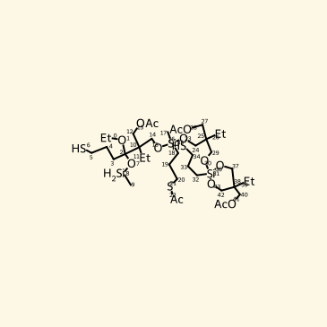 CCOC(CCCS)(O[SiH2]C)C(CC)(COC(C)=O)CO[Si](C)(CCCSC(C)=O)OCC(CC)(COC(C)=O)CO[Si]1(CCCS)OCC(CC)(COC(C)=O)CO1